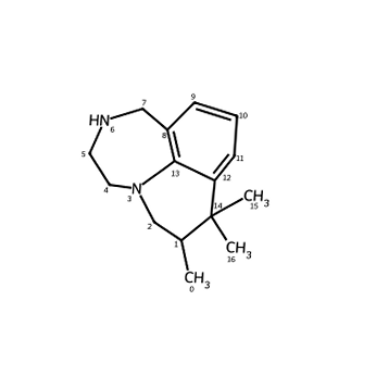 CC1CN2CCNCc3cccc(c32)C1(C)C